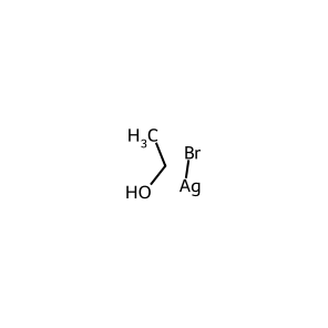 CCO.[Br][Ag]